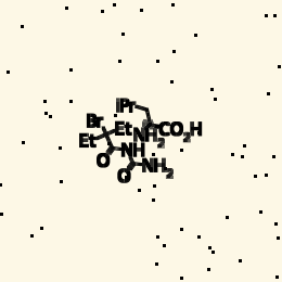 CC(C)C[C@H](N)C(=O)O.CCC(Br)(CC)C(=O)NC(N)=O